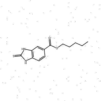 CCCCCOC(=O)c1ccc2[nH]c(=S)[nH]c2c1